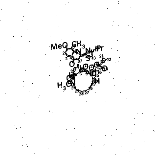 COc1ccc2c(O[C@@H]3C[C@H]4C(=O)N[C@]5(C(=O)CS(=O)(=O)C6CC6)C[C@H]5/C=C\CCCCN(C)C(=O)[C@@H]4C3)cc(-c3nc(C(C)C)cs3)nc2c1C